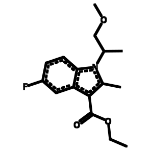 CCOC(=O)c1c(C)n(C(C)COC)c2ccc(F)cc12